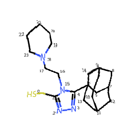 Sc1nnc(C23CC4CC(CC(C4)C2)C3)n1CCN1CCCCC1